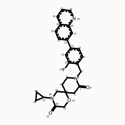 O=C1CC2(CCN1Cc1ccc(-c3ccc4cccnc4c3)cc1F)CN(C1CC1)C(=O)CO2